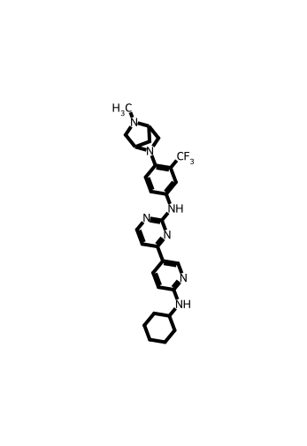 CN1CC2CC1CN2c1ccc(Nc2nccc(-c3ccc(NC4CCCCC4)nc3)n2)cc1C(F)(F)F